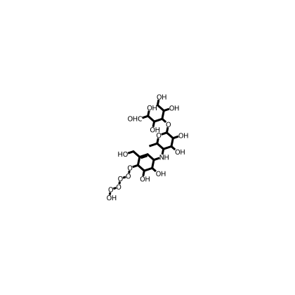 CC1OC(OC(C(O)CO)C(O)C(O)C=O)C(O)C(O)C1NC1C=C(CO)C(OOOOOO)C(O)C1O